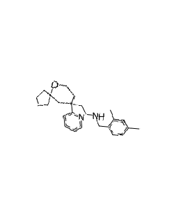 Cc1ccc(CNCCC2(c3ccccn3)CCOC3(CCCC3)C2)c(C)c1